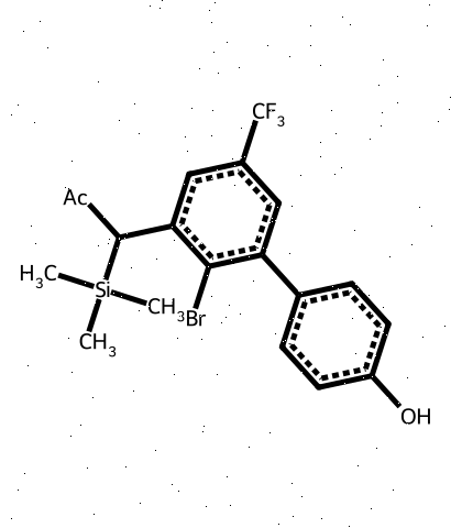 CC(=O)C(c1cc(C(F)(F)F)cc(-c2ccc(O)cc2)c1Br)[Si](C)(C)C